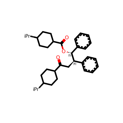 CC(C)C1CCC(C(=O)C[C@H](c2ccccc2)[C@H](OC(=O)C2CCC(C(C)C)CC2)c2ccccc2)CC1